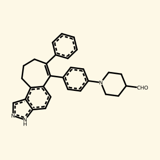 O=CC1CCN(c2ccc(C3=C(c4ccccc4)CCCc4c3ccc3[nH]ncc43)cc2)CC1